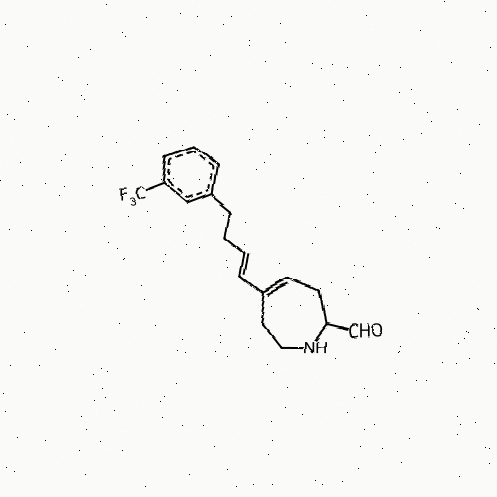 O=CC1CC=C(/C=C/CCc2cccc(C(F)(F)F)c2)CCN1